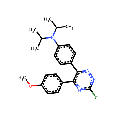 COc1ccc(-c2nc(Cl)nnc2-c2ccc(N(C(C)C)C(C)C)cc2)cc1